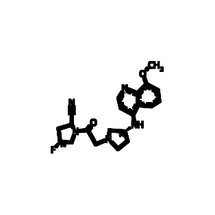 COc1cccc2c(N[C@@H]3CCN(CC(=O)N4C[C@@H](F)CC4C#N)C3)ccnc12